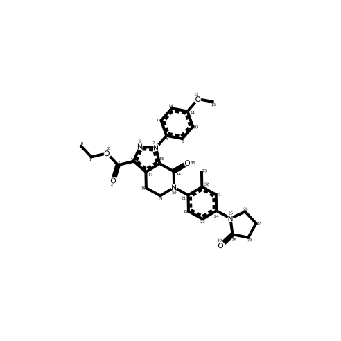 CCOC(=O)c1nn(-c2ccc(OC)cc2)c2c1CCN(c1ccc(N3CCCC3=O)cc1C)C2=O